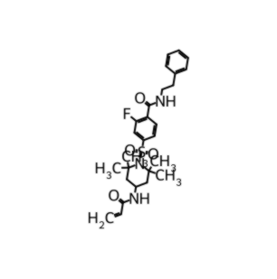 C=CC(=O)NC1CC(C)(C)N(S(=O)(=O)c2ccc(C(=O)NCCc3ccccc3)c(F)c2)C(C)(C)C1